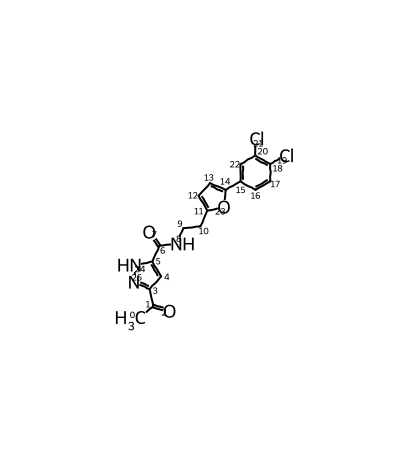 CC(=O)c1cc(C(=O)NCCc2ccc(-c3ccc(Cl)c(Cl)c3)o2)[nH]n1